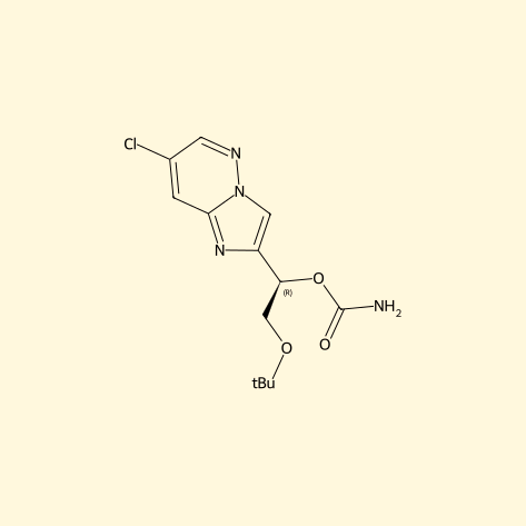 CC(C)(C)OC[C@H](OC(N)=O)c1cn2ncc(Cl)cc2n1